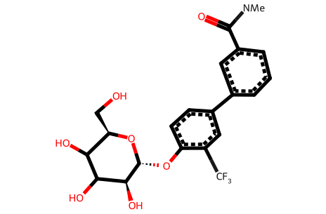 CNC(=O)c1cccc(-c2ccc(O[C@H]3O[C@H](CO)C(O)C(O)[C@@H]3O)c(C(F)(F)F)c2)c1